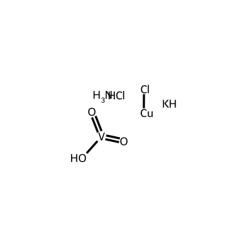 Cl.N.[Cl][Cu].[KH].[O]=[V](=[O])[OH]